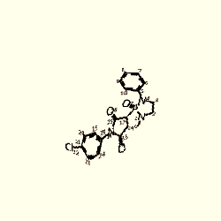 CN1CCN(c2ccccc2)P1(=O)C1CC(=O)N(c2ccc(Cl)cc2)C1=O